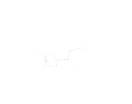 CCCCCCC(C)c1cc(O)no1